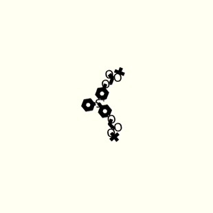 CC(C)(C)OC(=O)COc1ccc([S+](c2ccccc2)c2ccc(OCC(=O)OC(C)(C)C)cc2)cc1